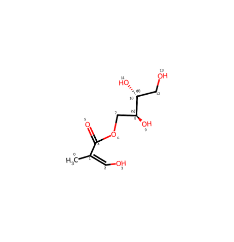 CC(=CO)C(=O)OC[C@H](O)[C@H](O)CO